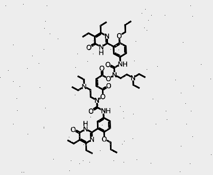 CCCOc1ccc(NC(=O)N(CCN(CC)CC)OC(=O)/C=C\C(=O)ON(CCN(CC)CC)C(=O)Nc2ccc(OCCC)c(-c3nc(CC)c(CC)c(=O)[nH]3)c2)cc1-c1nc(CC)c(CC)c(=O)[nH]1